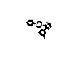 Fc1cccc(-c2nccnc2N2CCN(c3ccccc3)CC2)c1